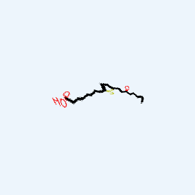 CCCCCC(=O)C=Cc1ccc(CCCCCCCC(=O)O)s1